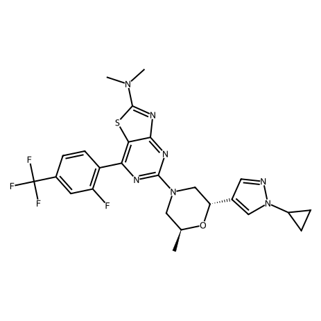 C[C@H]1CN(c2nc(-c3ccc(C(F)(F)F)cc3F)c3sc(N(C)C)nc3n2)C[C@H](c2cnn(C3CC3)c2)O1